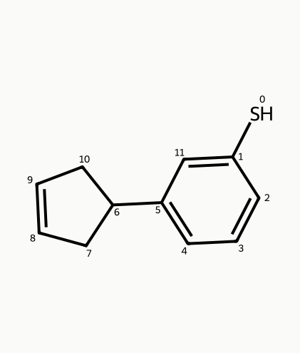 Sc1cccc(C2CC=CC2)c1